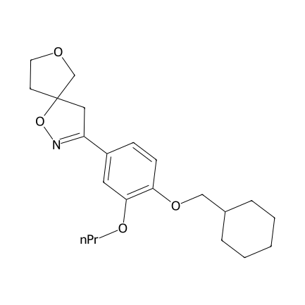 CCCOc1cc(C2=NOC3(CCOC3)C2)ccc1OCC1CCCCC1